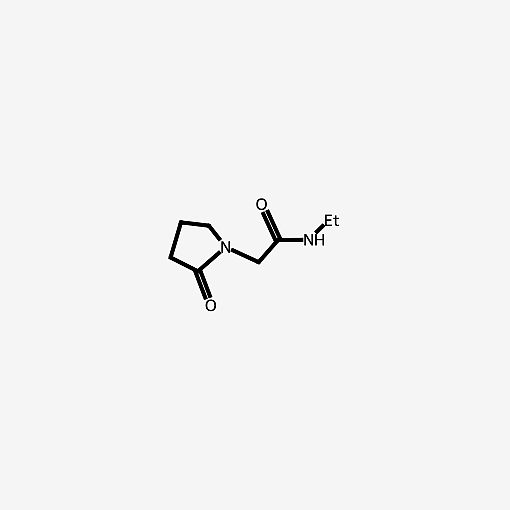 [CH2]CNC(=O)CN1CCCC1=O